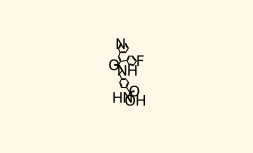 O=C(NCc1ccc(C(=O)NO)cc1)C(=Cc1cccnc1)c1ccc(F)cc1